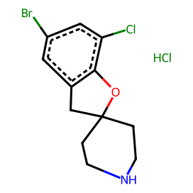 Cl.Clc1cc(Br)cc2c1OC1(CCNCC1)C2